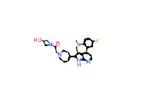 CN1Cc2c(C3=CCCN(CC(=O)N4CC(O)C4)CC3)[nH]c3nccc(c23)-c2cc(F)ccc21